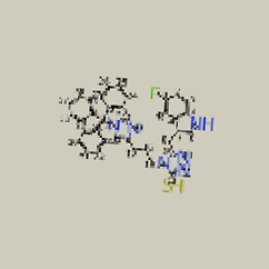 Fc1ccc2[nH]cc(Cc3nnc(S)n3CCCc3cn(C(c4ccccc4)(c4ccccc4)c4ccccc4)cn3)c2c1